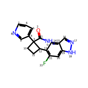 NC(=O)C1(c2cccnc2)CCC1c1cc2cn[nH]c2cc1F